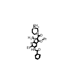 CCc1nc2c(cc1NC(=O)c1ccccc1)c(OC(C)C)c(C(=O)N1CCCN(C)CC1)n2C